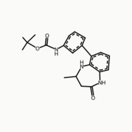 CC1CC(=O)Nc2cccc(-c3cccc(NC(=O)OC(C)(C)C)c3)c2N1